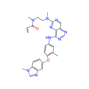 C=CC(=O)N(C)CCN(C)c1ncc2ncnc(Nc3ccc(Oc4ccc5c(c4)ncn5C)c(C)c3)c2n1